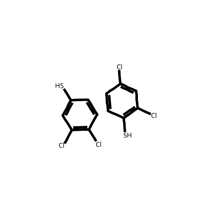 Sc1ccc(Cl)c(Cl)c1.Sc1ccc(Cl)cc1Cl